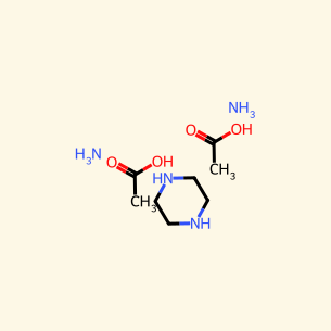 C1CNCCN1.CC(=O)O.CC(=O)O.N.N